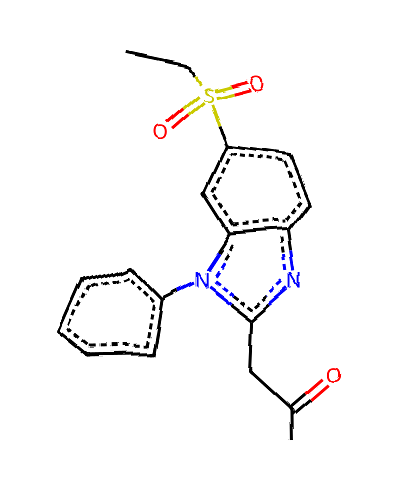 CCS(=O)(=O)c1ccc2nc(CC(C)=O)n(-c3ccccc3)c2c1